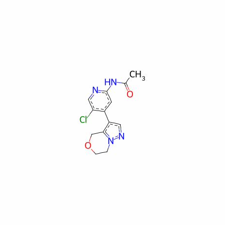 CC(=O)Nc1cc(-c2cnn3c2COCC3)c(Cl)cn1